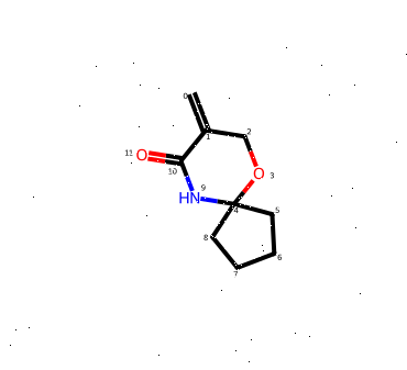 C=C1COC2(CCCC2)NC1=O